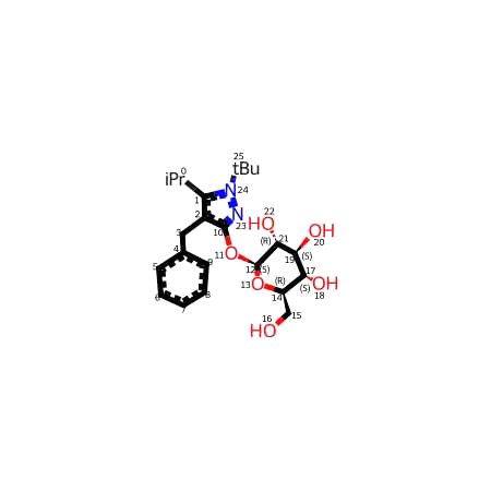 CC(C)c1c(Cc2ccccc2)c(O[C@@H]2O[C@H](CO)[C@@H](O)[C@H](O)[C@H]2O)nn1C(C)(C)C